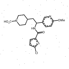 COc1ccc(C(CC2CCN(C(=O)O)CC2)NC(=O)c2ccc(Cl)s2)cn1